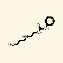 O=C(NCCNCCCO)Nc1ccccc1